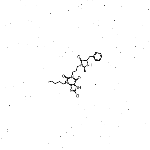 C=C1NC(Cc2ccccc2)C(=O)N1CCCn1c(=O)c2[nH]c(Cl)nc2n(CCCCC)c1=O